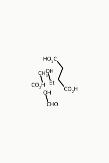 CC(=O)O.CCO.O=C(O)CCC(=O)O.O=CO